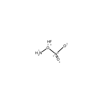 F.NO[N+](=O)[O-]